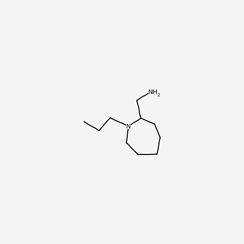 CCCN1CCCCCC1CN